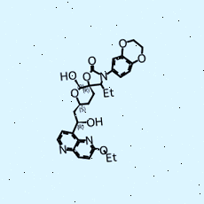 CCOc1ccc2nccc([C@H](O)C[C@@H]3CC[C@]4(OC(=O)N(c5ccc6c(c5)OCCO6)C4CC)[C@H](O)O3)c2n1